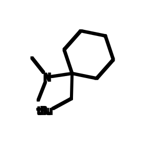 CN(C)C1(CC(C)(C)C)CCCCC1